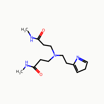 CNC(=O)CCN(CCC(=O)NC)CCC1=CCC=N1